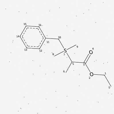 CCOC(=O)C(C)S(C)(C)Cc1ccccc1